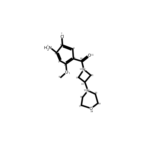 COc1cc(N)c(Cl)cc1C(=O)N1CC(N2CCOCC2)C1